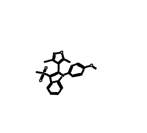 COc1ccc(-n2c(-c3c(C)noc3C)c(S(C)(=O)=O)c3ccccc32)cc1